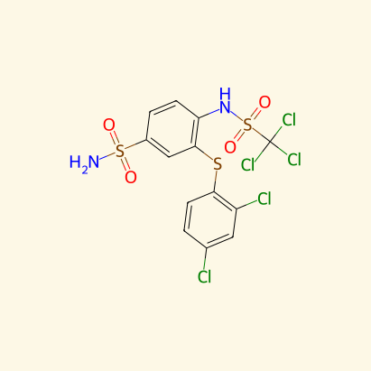 NS(=O)(=O)c1ccc(NS(=O)(=O)C(Cl)(Cl)Cl)c(Sc2ccc(Cl)cc2Cl)c1